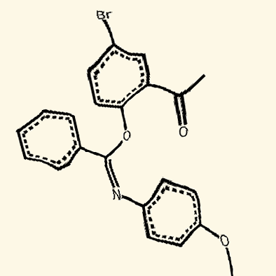 COc1ccc(N=C(Oc2ccc(Br)cc2C(C)=O)c2ccccc2)cc1